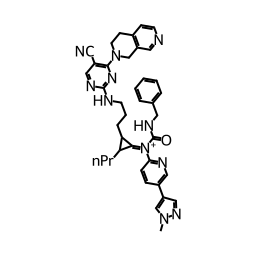 CCCC1/C(=[N+](/C(=O)NCc2ccccc2)c2ccc(-c3cnn(C)c3)cn2)C1CCCNc1ncc(C#N)c(N2CCc3ccncc3C2)n1